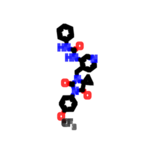 O=C(Nc1ccccc1)Nc1cnccc1CN1C(=O)N(c2ccc(OC(F)(F)F)cc2)C(=O)C12CC2